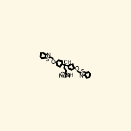 CC(CCC(=O)O)(c1ccc(OCc2nc3ccccc3s2)cc1)c1ccc(OCc2nc3ccccc3s2)cc1.[NaH]